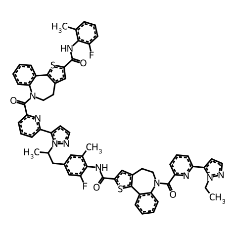 CCn1nccc1-c1cccc(C(=O)N2CCc3cc(C(=O)Nc4c(C)cc(CC(C)n5nccc5-c5cccc(C(=O)N6CCc7cc(C(=O)Nc8c(C)cccc8F)sc7-c7ccccc76)n5)cc4F)sc3-c3ccccc32)n1